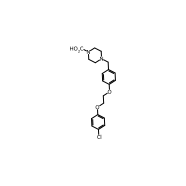 O=C(O)N1CCN(Cc2ccc(OCCOc3ccc(Cl)cc3)cc2)CC1